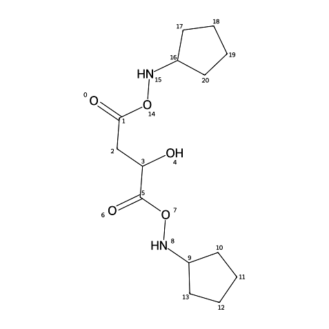 O=C(CC(O)C(=O)ONC1CCCC1)ONC1CCCC1